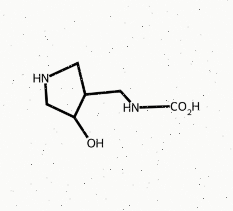 O=C(O)NCC1CNCC1O